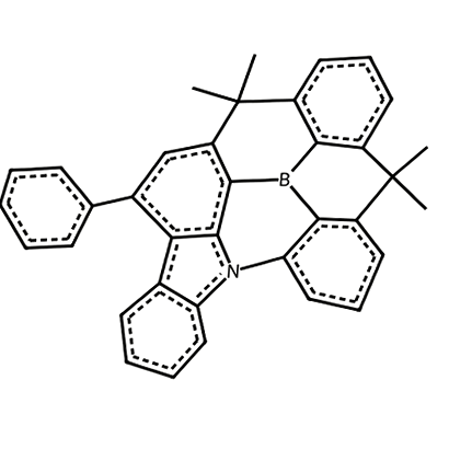 CC1(C)c2cccc3c2B2c4c1cccc4C(C)(C)c1cc(-c4ccccc4)c4c5ccccc5n-3c4c12